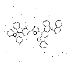 O=S12(c3ccccc3-c3ccccc31)c1ccccc1-c1cc(-c3ccc(-c4c5oc6ccccc6c5cc5c4c4ccccc4n5-c4cccc5ccccc45)o3)ccc12